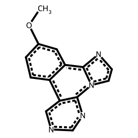 COc1ccc2c3cncnc3n3ccnc3c2c1